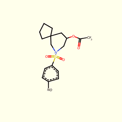 O=Nc1ccc(S(=O)(=O)N2CC(OC(=O)C(F)(F)F)CC3(CCCC3)C2)cc1